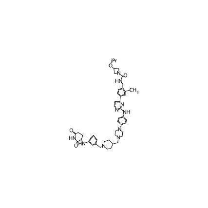 Cc1cc(-c2ccnc(Nc3ccc(N4CCN(CC5CCN(Cc6cccc(NC7CCC(=O)NC7=O)c6)CC5)CC4)cc3)n2)ccc1CNC(=O)N1CC(OC(C)C)C1